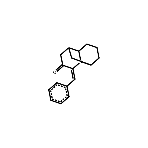 O=C1CC2CC3CCCC2N3C1=Cc1ccccc1